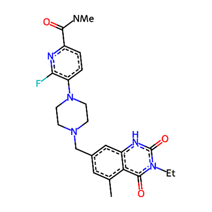 CCn1c(=O)[nH]c2cc(CN3CCN(c4ccc(C(=O)NC)nc4F)CC3)cc(C)c2c1=O